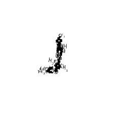 Cc1cc(C(=O)N2CCC(C)(O)CC2)cc(C)c1C=CS(=O)(=O)N1CCC2(CC1)N=C(C1CCC(CCC(F)(F)F)CC1)NC2=O